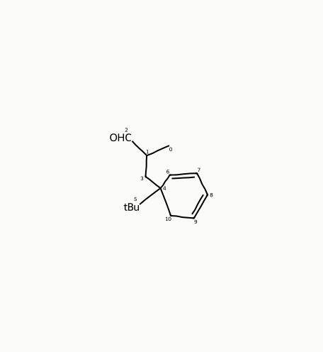 CC(C=O)CC1(C(C)(C)C)C=CC=CC1